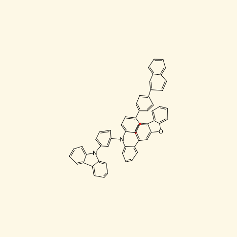 c1cc(N(c2ccc(-c3ccc(-c4ccc5ccccc5c4)cc3)cc2)c2ccccc2-c2ccc3c(c2)oc2ccccc23)cc(-n2c3ccccc3c3ccccc32)c1